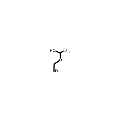 [CH2]C(O)OCCCC